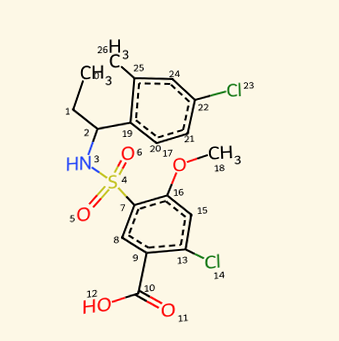 CCC(NS(=O)(=O)c1cc(C(=O)O)c(Cl)cc1OC)c1ccc(Cl)cc1C